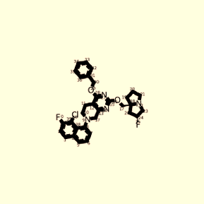 Fc1ccc2cccc(N3CCc4c(nc(OC[C@@]56CCCN5C[C@H](F)C6)nc4OCc4ccccc4)C3)c2c1Cl